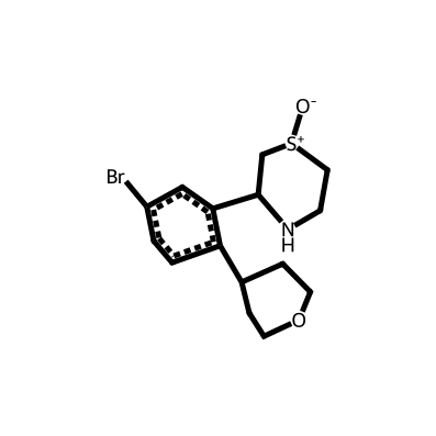 [O-][S+]1CCNC(c2cc(Br)ccc2C2CCOCC2)C1